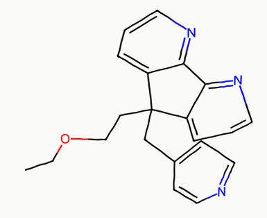 CCOCCC1(Cc2ccncc2)c2cccnc2-c2ncccc21